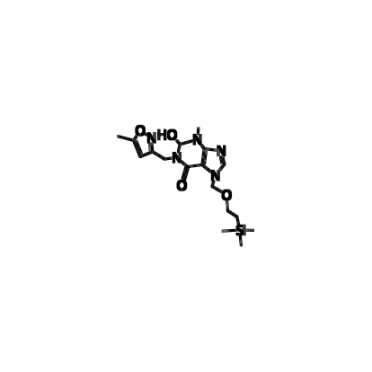 Cc1cc(CN2C(=O)c3c(ncn3COCC[Si](C)(C)C)N(C)C2O)no1